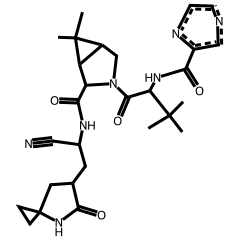 CC(C)(C)C(NC(=O)c1cnccn1)C(=O)N1CC2C(C1C(=O)NC(C#N)CC1CC3(CC3)NC1=O)C2(C)C